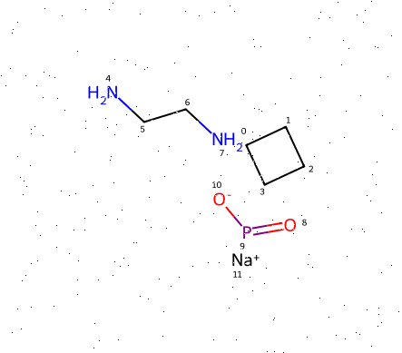 C1CCC1.NCCN.O=P[O-].[Na+]